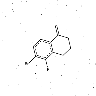 C=C1CCCc2c1ccc(Br)c2F